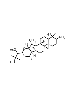 CC(=O)O[C@@H]([C@H]1C[C@@H](C)[C@H]2[C@H](O1)[C@H](O)[C@@]1(C)[C@@H]3CC[C@H]4C(C)(C)C(N)CC[C@@]45C[C@@]35CC[C@]21C)C(C)(C)O